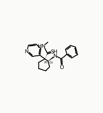 CNC(=S)[C@@]1(c2cccnc2)CCCC[C@@H]1NC(=O)c1ccccc1